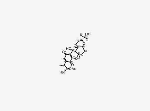 CCC(C)C(OC(C)=O)C(C)C1=CC(=O)C2=C(OC3(C)CCC4O[C@@H](C(C)(C)O)CCC4(C)C3C2O)C1=O